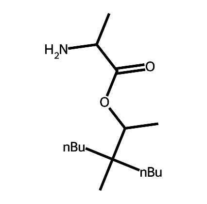 CCCCC(C)(CCCC)C(C)OC(=O)C(C)N